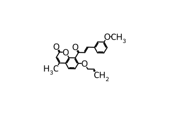 C=CCOc1ccc2c(C)cc(=O)oc2c1C(=O)C=Cc1cccc(OC)c1